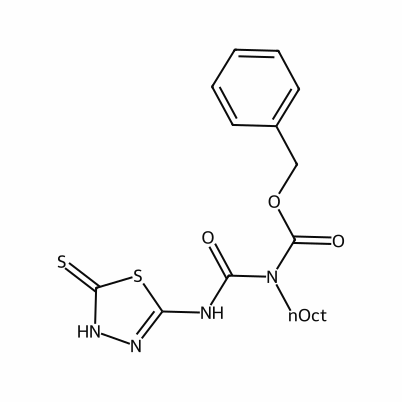 CCCCCCCCN(C(=O)Nc1n[nH]c(=S)s1)C(=O)OCc1ccccc1